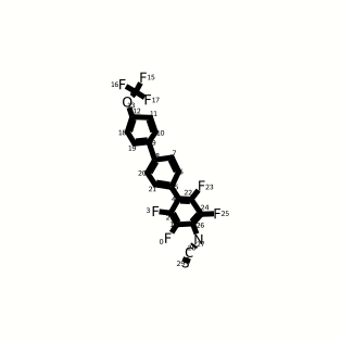 Fc1c(F)c(-c2ccc(-c3ccc(OC(F)(F)F)cc3)cc2)c(F)c(F)c1N=C=S